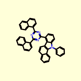 c1ccc(-n2c3cccc(-c4nc(-c5cccc6ccccc56)nc(-c5cccc6ccccc56)n4)c3c3ccc4ccccc4c32)cc1